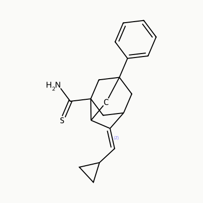 NC(=S)C12CC3CC(c4ccccc4)(CC1/C3=C\C1CC1)C2